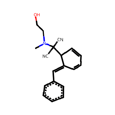 CN(CCO)C(C#N)(C#N)C1C=CC=CC1=Cc1ccccc1